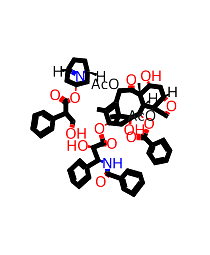 CC(=O)O[C@H]1C(=O)[C@@]2(C)[C@H]([C@H](OC(=O)c3ccccc3)[C@]3(O)C[C@H](OC(=O)[C@H](O)[C@@H](NC(=O)c4ccccc4)c4ccccc4)C(C)=C1C3(C)C)[C@]1(OC(C)=O)CO[C@@H]1C[C@@H]2O.CN1[C@@H]2CC[C@H]1C[C@@H](OC(=O)C(CO)c1ccccc1)C2